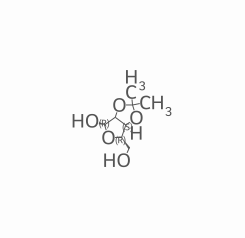 CC1(C)OC2[C@H](O)O[C@H](CO)[C@@H]2O1